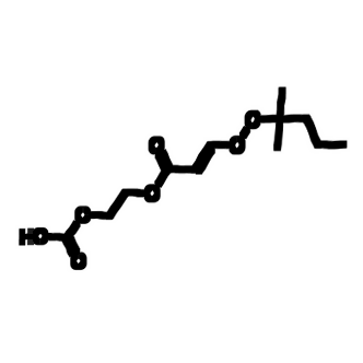 CCCC(C)(C)OOC=CC(=O)OCCOC(=O)O